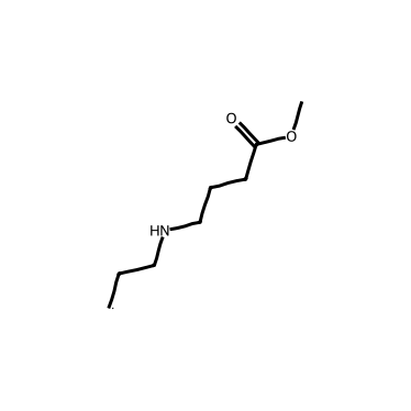 [CH2]CCNCCCC(=O)OC